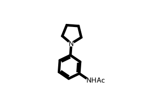 CC(=O)Nc1cccc(N2CCCC2)c1